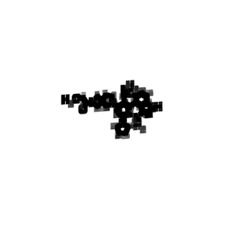 C=CC(=O)N1CC2(CCN(c3nc(N4CCCC4)nc(-c4c(C)ccc5[nH]nc(N)c45)c3C#N)C2)C1